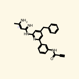 C#CC(=O)Nc1cccc(-c2cc(Cc3ccccc3)cc(NC(=N)/C=C(/C)N)n2)c1